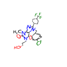 Cn1c(=O)n(CCCO)c(=O)c2c1nc(C1CCC(C(F)(F)F)CC1)n2Cc1ccc(Cl)cc1